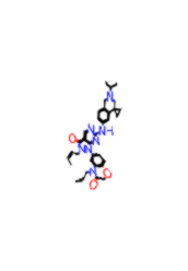 C/C=C\Cn1c(=O)c2cnc(Nc3ccc4c(c3)C3(CC3)CN(C(C)C)C4)nc2n1-c1ccc2c(c1)N(CCC)C(=O)CO2